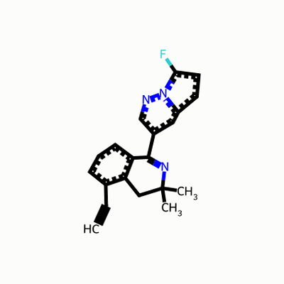 C#Cc1cccc2c1CC(C)(C)N=C2c1cnn2c(F)ccc2c1